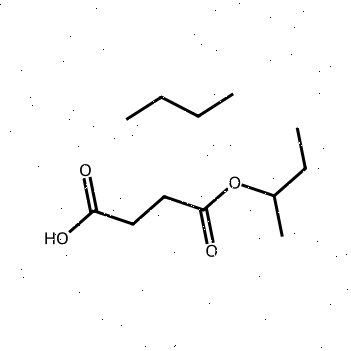 CCC(C)OC(=O)CCC(=O)O.CCCC